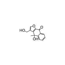 CC1(O)c2ccccc2C(=O)c2occ(CO)c21